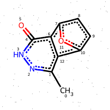 Cc1n[nH]c(=O)c2c3ccc(o3)c12